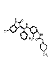 CN1CCN(CC(=O)Nc2ccc(N/C(=C3\C(=O)Nc4cc(Cl)ccc43)c3ccccc3)cc2N)CC1